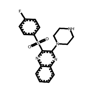 O=S(=O)(c1ccc(F)cc1)c1nc2ccccc2nc1N1CCNCC1